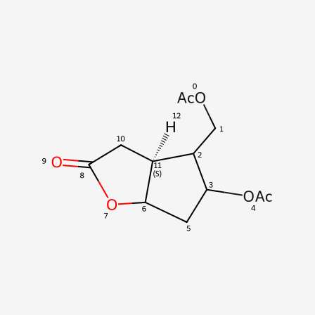 CC(=O)OCC1C(OC(C)=O)CC2OC(=O)C[C@H]21